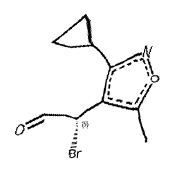 Cc1onc(C2CC2)c1[C@H](Br)C=O